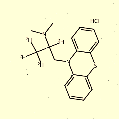 Cl.[2H]C([2H])([2H])C([2H])(CN1c2ccccc2Sc2ccccc21)N(C)C